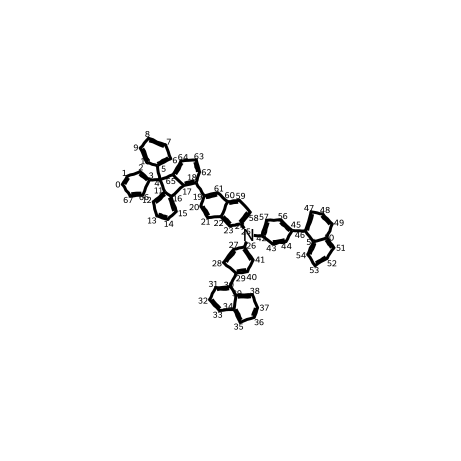 c1ccc(C2(c3ccccc3)c3ccccc3-c3c(-c4ccc5cc(N(c6ccc(-c7cccc8ccccc78)cc6)c6ccc(-c7cccc8ccccc78)cc6)ccc5c4)cccc32)cc1